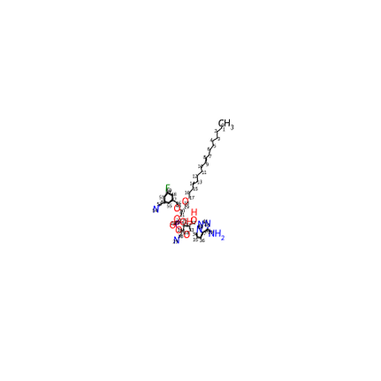 CCCCCCCC/C=C/CCCCCCCCOC[C@H](COP(=O)(O)O[C@]1(C#N)C[C@@H](O)[C@H](c2ccc3c(N)ncnn23)O1)OCc1cc(F)cc(C#N)c1